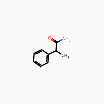 CC(C(N)=O)c1c[c]ccc1